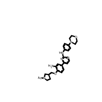 CC(=O)N1CCC(COc2ccc(-c3ccnc(Nc4ccc(N5CCOCC5)cc4)n3)cc2N)C1